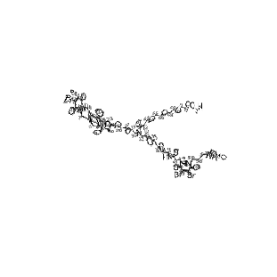 C=CC(=O)NCCCn1c(=O)c(Br)c(Br)c(=O)n1CCC(=O)NCCOCCOCCN(CCOCCOCCNC(=O)CCn1c(=O)c(Br)c(Br)c(=O)n1CCCNC=O)C(=O)CCOCCOCCOCCC(=O)O